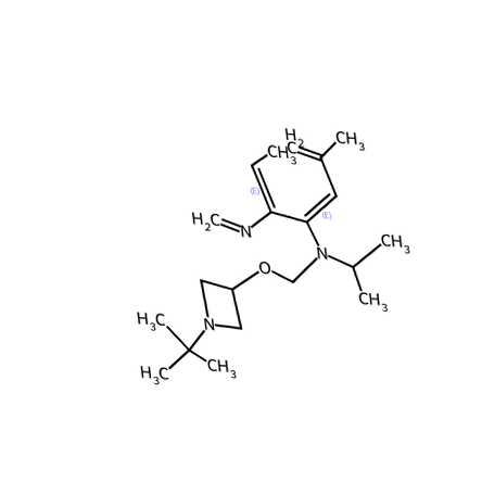 C=NC(=C/C)/C(=C\C(=C)C)N(COC1CN(C(C)(C)C)C1)C(C)C